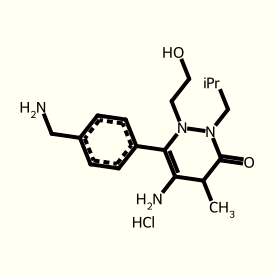 CC(C)CN1C(=O)C(C)C(N)=C(c2ccc(CN)cc2)N1CCO.Cl